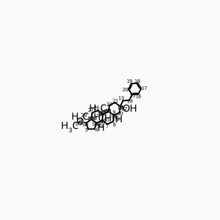 CO[C@H]1CC[C@H]2[C@@H]3CC[C@@H]4C[C@@](O)(CCc5ccccc5)CC[C@]4(C)[C@H]3CC[C@]12C